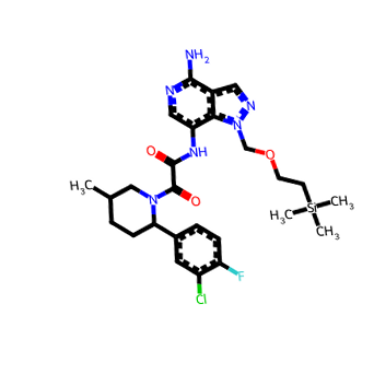 CC1CCC(c2ccc(F)c(Cl)c2)N(C(=O)C(=O)Nc2cnc(N)c3cnn(COCC[Si](C)(C)C)c23)C1